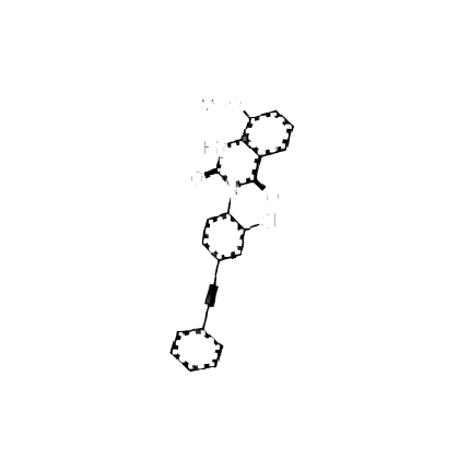 COc1cccc2c(=O)n(-c3ccc(C#Cc4ccccc4)cc3Cl)c(=O)[nH]c12